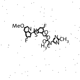 COc1cnc2c(-c3nc4cc(F)c5c(c4s3)C[C@@H](OC(=O)N(C)c3cnc(C)nc3)O5)cc(F)cc2c1